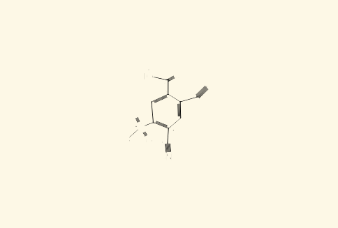 C#Cc1cc(C#N)c(S(C)(=O)=O)cc1C(=O)O